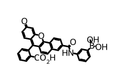 O=C(Nc1cccc(B(O)O)c1)c1ccc2c(ccc3c(-c4ccccc4C(=O)O)c4ccc(=O)cc-4oc32)c1